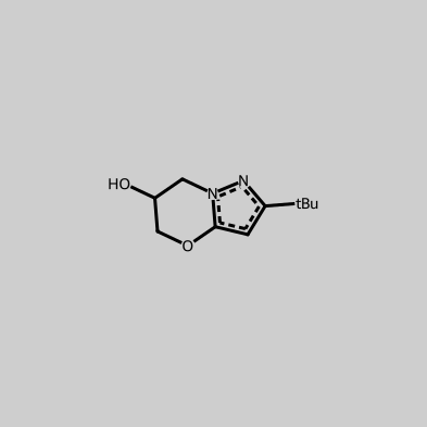 CC(C)(C)c1cc2n(n1)CC(O)CO2